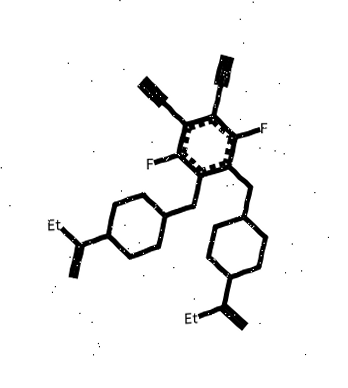 C#Cc1c(F)c(CC2CCC(C(=C)CC)CC2)c(CC2CCC(C(=C)CC)CC2)c(F)c1C#C